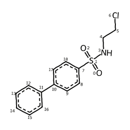 O=S(=O)(NCCCl)c1ccc(-c2ccccc2)cc1